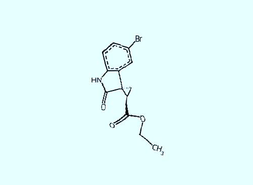 CCOC(=O)[C@@H]1C[C@@]12C(=O)Nc1ccc(Br)cc12